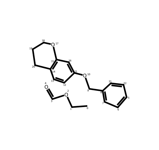 CCOC=O.c1ccc(COc2ccc3c(c2)OCCC3)cc1